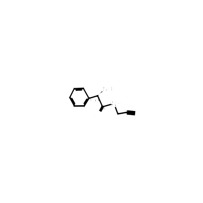 C#CCNC(=O)[C@H](N)c1ccccc1